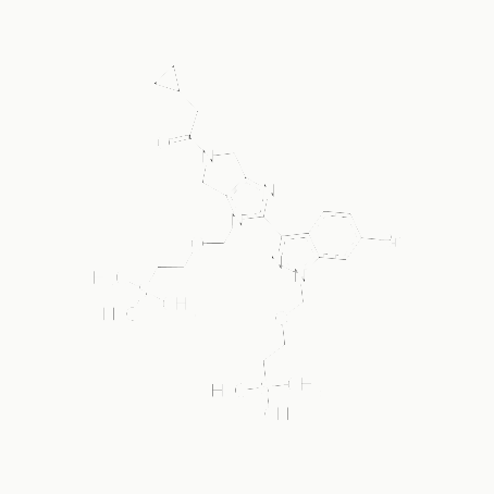 C[Si](C)(C)CCOCn1c(-c2nn(COCC[Si](C)(C)C)c3cc(Br)ccc23)nc2c1CN(C(=O)CC1CC1)C2